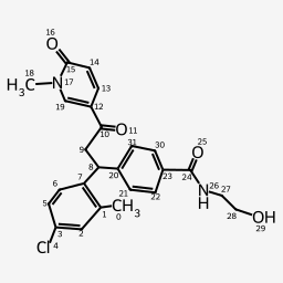 Cc1cc(Cl)ccc1C(CC(=O)c1ccc(=O)n(C)c1)c1ccc(C(=O)NCCO)cc1